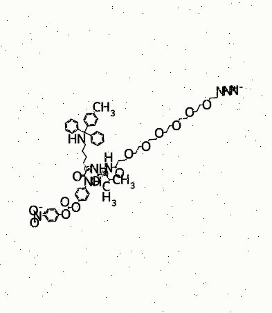 Cc1ccc(C(NCCCC[C@H](NC(=O)[C@@H](NC(=O)CCOCCOCCOCCOCCOCCOCCN=[N+]=[N-])C(C)C)C(=O)Nc2ccc(OC(=O)Oc3ccc([N+](=O)[O-])cc3)cc2)(c2ccccc2)c2ccccc2)cc1